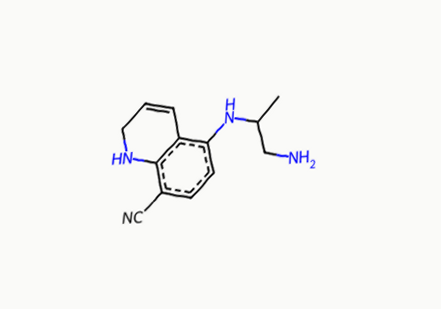 CC(CN)Nc1ccc(C#N)c2c1C=CCN2